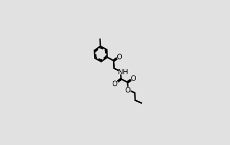 CCCOC(=O)C(=O)NCC(=O)c1cccc(C)c1